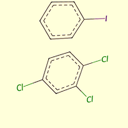 Clc1ccc(Cl)c(Cl)c1.Ic1ccccc1